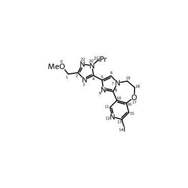 COCc1nc(-c2cn3c(n2)-c2cnc(I)cc2OCC3)n(C(C)C)n1